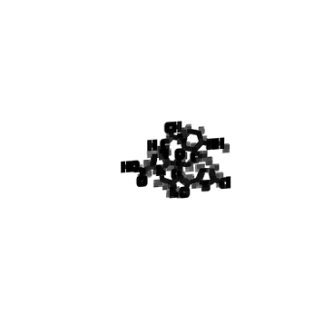 CC(C)N1CCC(N)CC1.CCS(=O)(=O)c1ncc(C(=O)O)n1Cc1cc(-c2ccc(Cl)s2)on1